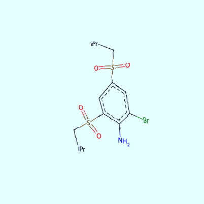 CC(C)CS(=O)(=O)c1cc(Br)c(N)c(S(=O)(=O)CC(C)C)c1